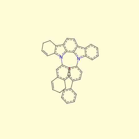 C1=Cc2cc(-n3c4c(c5ccc6c7ccccc7n(-c7ccc(-c8ccccc8)cc7)c6c53)CCC=C4)ccc2CC1